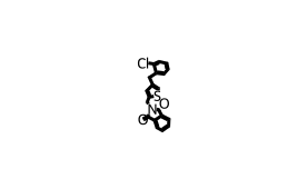 O=C1c2ccccc2C(=O)N1Cc1cc(Cc2ccccc2Cl)cs1